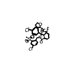 CC(=O)C1(F)C=CC=C2C(=O)N(Cc3ccc(Cl)cc3S(C)(=O)=O)[C@](OC3CCCO3)(c3ccc(Cl)cc3)C21